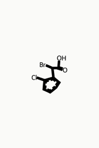 O=C(O)C(Br)c1ccccc1Cl